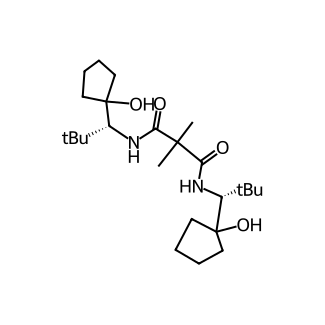 CC(C)(C(=O)N[C@H](C(C)(C)C)C1(O)CCCC1)C(=O)N[C@H](C(C)(C)C)C1(O)CCCC1